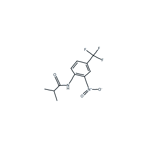 CC(C)C(=O)Nc1ccc(C(F)(F)F)cc1[N+](=O)[O-]